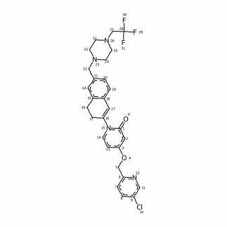 O=c1cc(OCc2ccc(Cl)cn2)ccn1C1=Cc2ccc(CN3CCN(CC(F)(F)F)CC3)cc2CC1